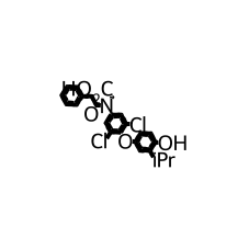 CC(C)c1cc(Oc2c(Cl)cc(N(CC(=O)O)C(=O)Cc3ccccc3)cc2Cl)ccc1O